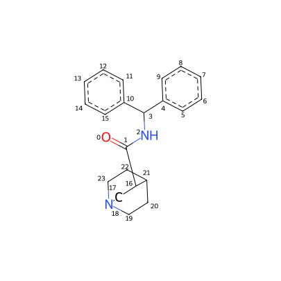 O=C(NC(c1ccccc1)c1ccccc1)C1CN2CCC1CC2